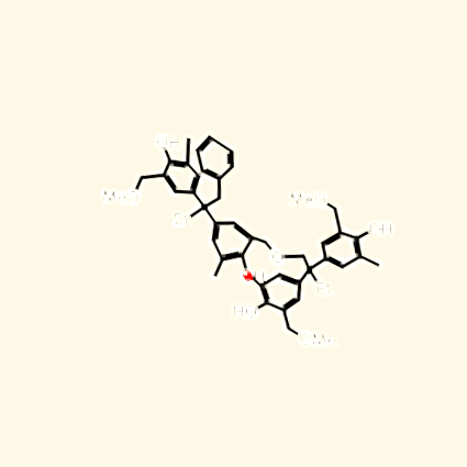 CCC(COCc1cc(C(CC)(Cc2ccccc2)c2cc(C)c(O)c(COC)c2)cc(C)c1O)(c1cc(C)c(O)c(COC)c1)c1cc(C)c(O)c(COC)c1